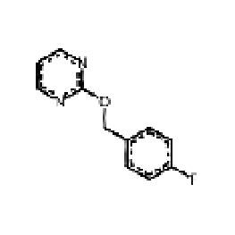 Fc1ccc(COc2ncccn2)cc1